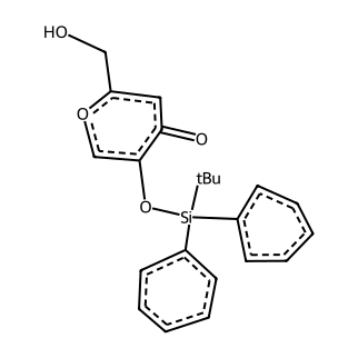 CC(C)(C)[Si](Oc1coc(CO)cc1=O)(c1ccccc1)c1ccccc1